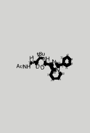 CC(=O)NNC(=O)[C@@H](NC(=O)c1nc(-c2ccccc2)n2c1CCCC2)C(C)(C)C